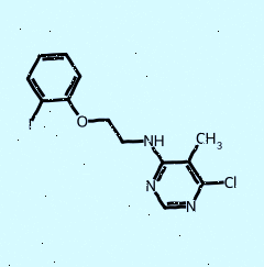 Cc1c(Cl)ncnc1NCCOc1ccccc1I